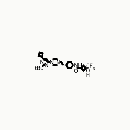 CC(C)(C)c1nc(C2CCC2)cc(N2CCN(CC[C@H]3CC[C@@H](NC(=O)C4CC(O)(C(F)(F)F)C4)CC3)CC2)n1